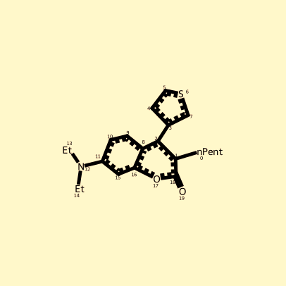 CCCCCc1c(-c2ccsc2)c2ccc(N(CC)CC)cc2oc1=O